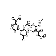 CNC(=O)c1cc(-c2cc(Cl)cc([C@@H]3CN(C(=O)/C=C\Cl)[C@H](COC)CN3C(C)=O)c2)ccn1